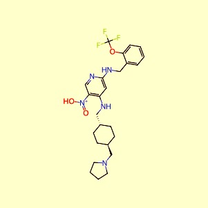 O=[N+](O)c1cnc(NCc2ccccc2OC(F)(F)F)cc1NC[C@H]1CC[C@H](CN2CCCC2)CC1